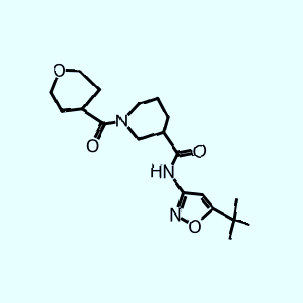 CC(C)(C)c1cc(NC(=O)C2CCCN(C(=O)C3CCOCC3)C2)no1